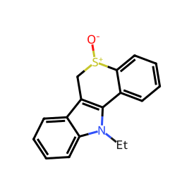 CCn1c2c(c3ccccc31)C[S+]([O-])c1ccccc1-2